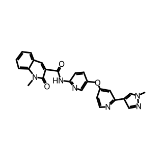 Cn1cc(-c2cc(Oc3ccc(NC(=O)c4cc5ccccc5n(C)c4=O)nc3)ccn2)cn1